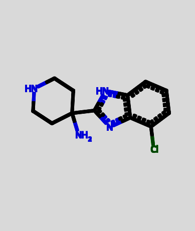 NC1(c2nc3c(Cl)cccc3[nH]2)CCNCC1